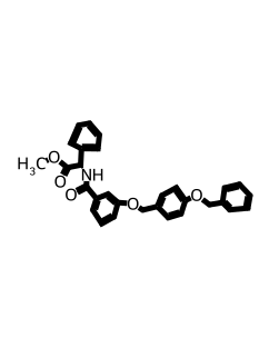 COC(=O)[C@@H](NC(=O)c1cccc(OCc2ccc(OCc3ccccc3)cc2)c1)c1ccccc1